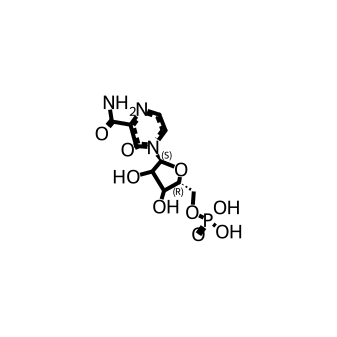 NC(=O)c1nccn([C@H]2O[C@H](COP(=O)(O)O)C(O)C2O)c1=O